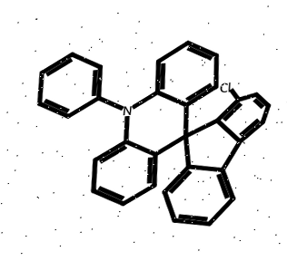 Clc1cccc2c1C1(c3ccccc3-2)c2ccccc2N(c2ccccc2)c2ccccc21